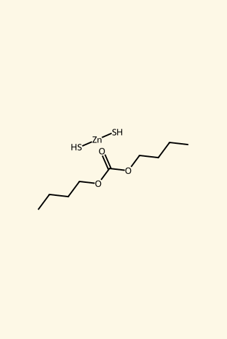 CCCCOC(=O)OCCCC.[SH][Zn][SH]